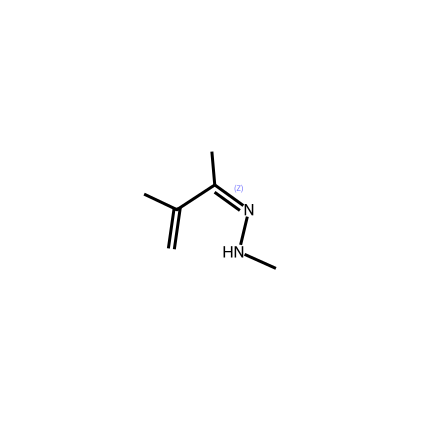 C=C(C)/C(C)=N\NC